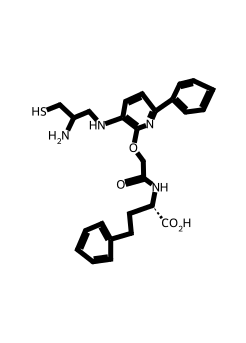 NC(CS)CNc1ccc(-c2ccccc2)nc1OCC(=O)N[C@@H](CCc1ccccc1)C(=O)O